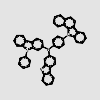 c1ccc(-n2c3ccccc3c3ccc(N(c4ccc(-n5c6ccccc6c6ccc7ccccc7c65)cc4)c4ccc5c(c4)sc4ccccc45)cc32)cc1